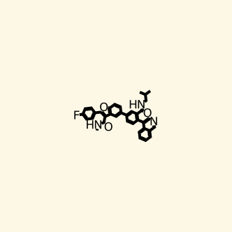 CNC(=O)c1c(-c2ccc(F)cc2)oc2ccc(-c3ccc(-c4cncc5ccccc45)c(C(=O)NCC(C)C)c3)cc12